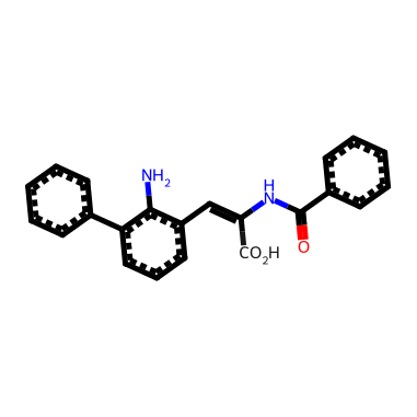 Nc1c(/C=C(/NC(=O)c2ccccc2)C(=O)O)cccc1-c1ccccc1